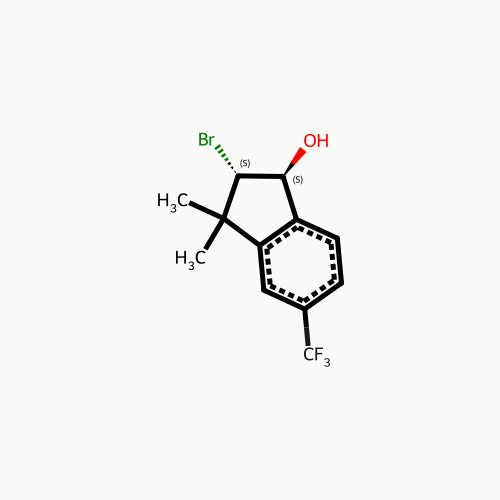 CC1(C)c2cc(C(F)(F)F)ccc2[C@H](O)[C@H]1Br